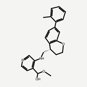 COC(O)c1ccncc1NC[C@H]1CCOc2cc(-c3ccccc3C)ccc21